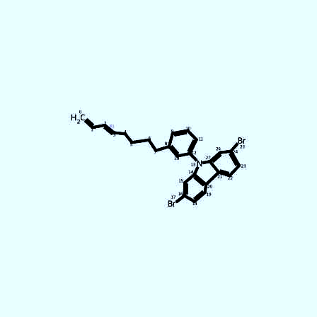 C=C/C=C/CCCCc1cccc(-n2c3cc(Br)ccc3c3ccc(Br)cc32)c1